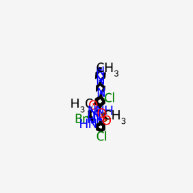 COc1cc(N2CCC(N3CCN(C)CC3)CC2)c(Cl)cc1Nc1ncc(Br)c(Nc2cc(Cl)ccc2NS(C)(=O)=O)n1